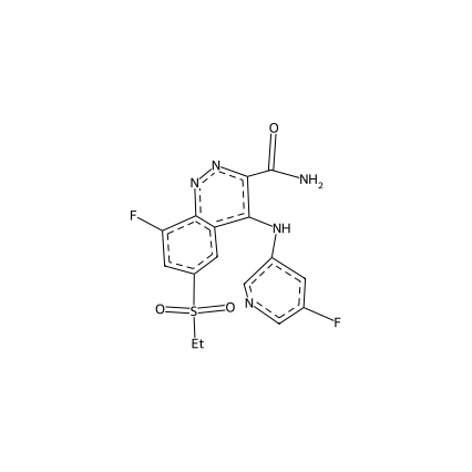 CCS(=O)(=O)c1cc(F)c2nnc(C(N)=O)c(Nc3cncc(F)c3)c2c1